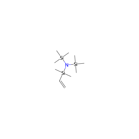 C=C[Si](C)(C)N([Si](C)(C)C)[Si](C)(C)C